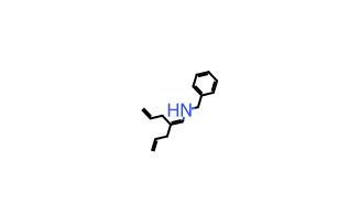 C=CCC(=CNCc1ccccc1)CC=C